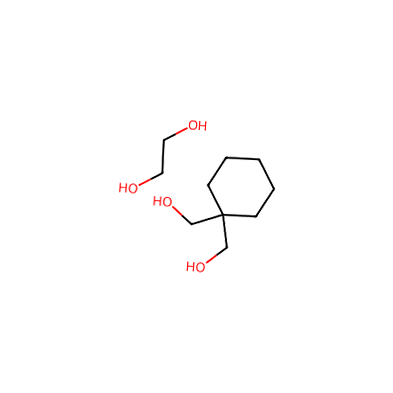 OCC1(CO)CCCCC1.OCCO